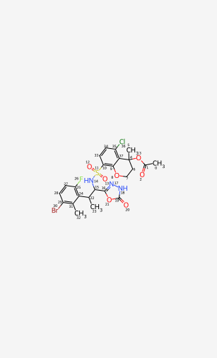 CC(=O)OC1(C)CCOc2c(S(=O)(=O)NC(c3n[nH]c(=O)o3)C(C)c3c(F)ccc(Br)c3C)ccc(Cl)c21